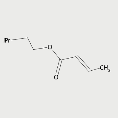 C/C=C/C(=O)OCCC(C)C